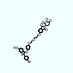 O=C1CCC(N2C(=O)c3ccc(OCCCOCCOc4ccc(Oc5c(-c6ccc(Br)cc6)sc6cc(O)ccc56)cc4)cc3C2=O)C(=O)N1